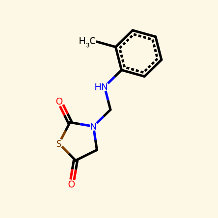 Cc1ccccc1NCN1CC(=O)SC1=O